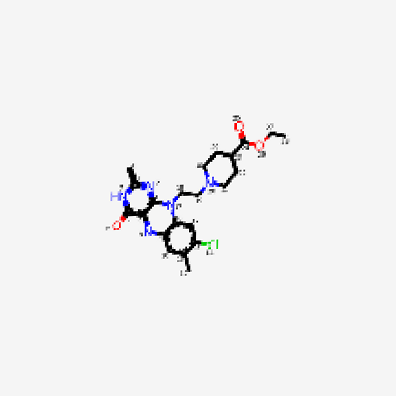 C=c1nc2c(c(=O)[nH]1)=Nc1cc(C)c(Cl)cc1N2CCN1CCC(C(=O)OCC)CC1